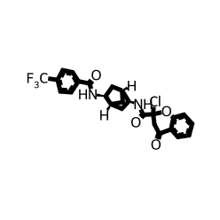 O=C(N[C@H]1C[C@H]2C[C@@H]1C[C@@H]2NC(=O)C1(Cl)CC(=O)c2ccccc2O1)c1ccc(C(F)(F)F)cc1